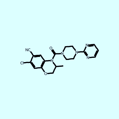 CC1COc2cc(Cl)c(C#N)cc2N1C(=O)N1CCN(c2ncccn2)CC1